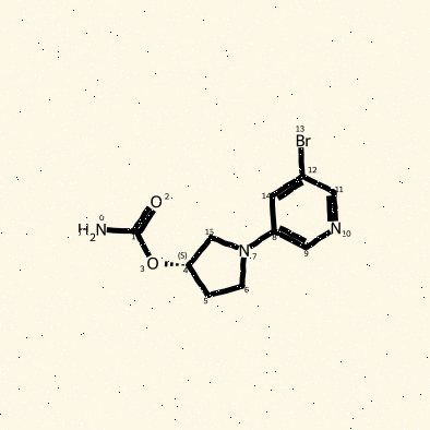 NC(=O)O[C@H]1CCN(c2cncc(Br)c2)C1